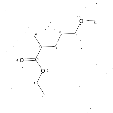 CCOC(=O)C(C)CCCOC